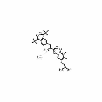 CC(=C(CCOC(=O)C(N)Cc1ccc(C(=O)C(C)(C)C)c(C(=O)C(C)(C)C)c1)CCC(S)S)N(C)C=O.Cl